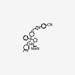 C=C(NC)N[C@H]1CCC[C@@H]1[C@](CCC1C=CN=C(C)CC1)(c1ccccc1)C1CCN(CC2CN(c3ccc(C#N)cc3)C2)CC1